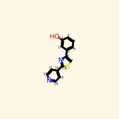 Oc1cccc(-c2csc(-c3ccncc3)n2)c1